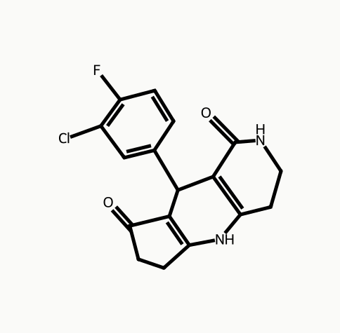 O=C1CCC2=C1C(c1ccc(F)c(Cl)c1)C1=C(CCNC1=O)N2